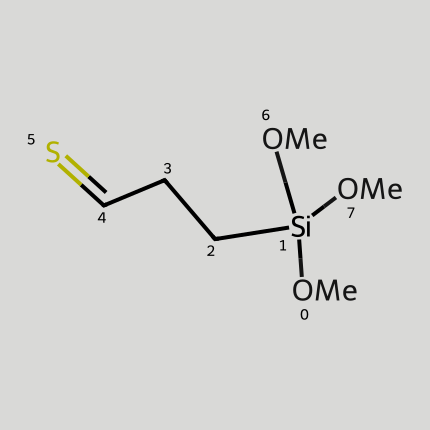 CO[Si](CCC=S)(OC)OC